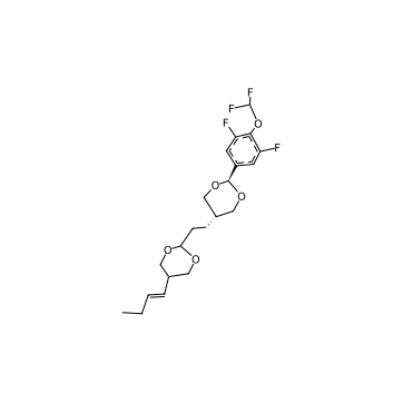 CC/C=C/C1COC(CC[C@H]2CO[C@H](c3cc(F)c(OC(F)F)c(F)c3)OC2)OC1